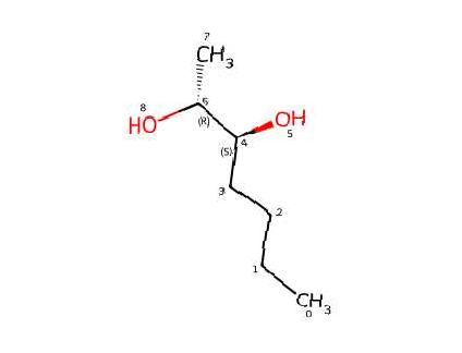 CCCC[C@H](O)[C@@H](C)O